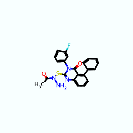 CC(=O)N(N)Sc1nc2cccc(-c3ccccc3)c2c(=O)n1-c1cccc(F)c1